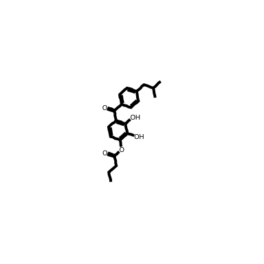 CCCC(=O)Oc1ccc(C(=O)c2ccc(CC(C)C)cc2)c(O)c1O